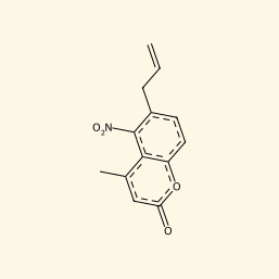 C=CCc1ccc2oc(=O)cc(C)c2c1[N+](=O)[O-]